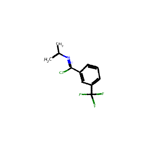 CC(C)/N=C(\Cl)c1cccc(C(F)(F)F)c1